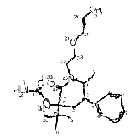 CC1C(c2ccccc2)CC(OC(N)=O)(C(C)(C)C)C(=O)N1CCOCCO